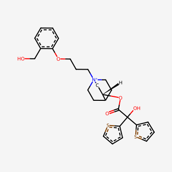 O=C(O[C@H]1C[N+]2(CCCOc3ccccc3CO)CCC1CC2)C(O)(c1cccs1)c1cccs1